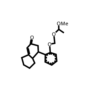 COC(C)OCOc1ccccc1C1CC(=O)C=C2CCCCC21